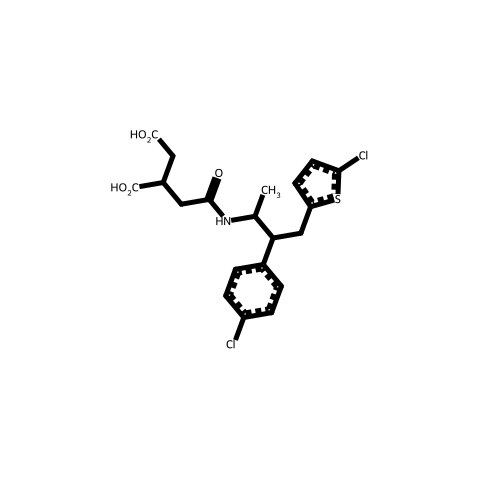 CC(NC(=O)CC(CC(=O)O)C(=O)O)C(Cc1ccc(Cl)s1)c1ccc(Cl)cc1